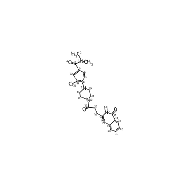 CN(C)C(=O)c1ccc(N2CCN(C(=O)CCc3nc4ccccc4c(=O)[nH]3)CC2)c(Cl)c1